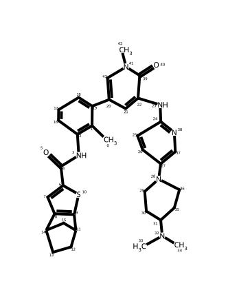 Cc1c(NC(=O)c2cc3c(s2)C2CCC3C2)cccc1-c1cc(Nc2ccc(N3CCC(N(C)C)CC3)cn2)c(=O)n(C)c1